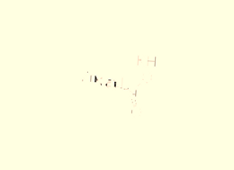 O=[Si]([O-])[O-].[KH].[NaH].[Zn+2]